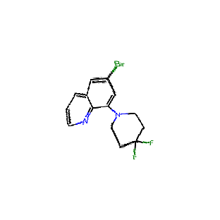 FC1(F)CCN(c2cc(Br)cc3cccnc23)CC1